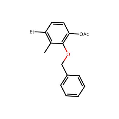 CCc1ccc(OC(C)=O)c(OCc2ccccc2)c1C